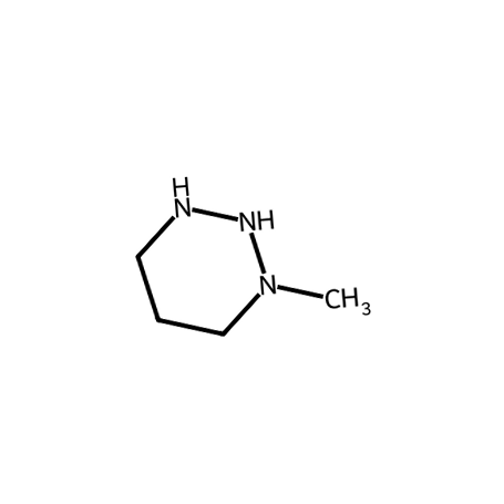 CN1CCCNN1